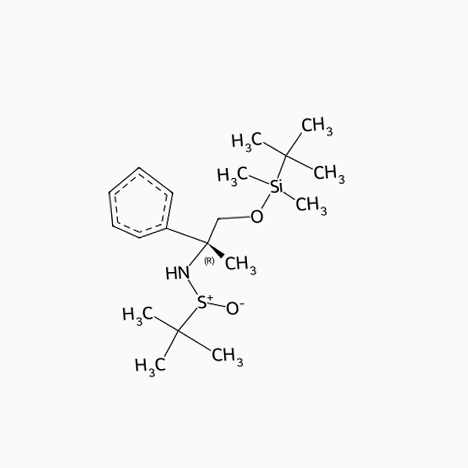 CC(C)(C)[S+]([O-])N[C@@](C)(CO[Si](C)(C)C(C)(C)C)c1ccccc1